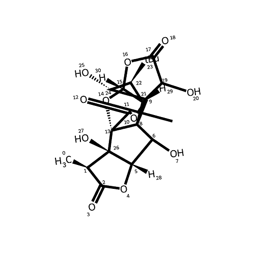 C[C@@H]1C(=O)O[C@H]2C(O)C34[C@@H]5OC(=O)[C@]3(O[C@@H]3OC(=O)C(O)C34[C@H](C(C)(C)C)[C@H]5O)[C@@]12O